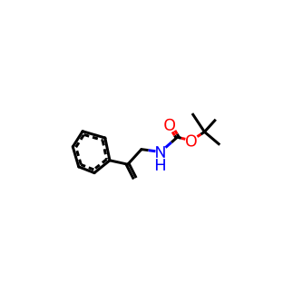 C=C(CNC(=O)OC(C)(C)C)c1ccccc1